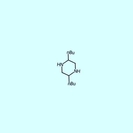 CCCCC1CNC(CCCC)CN1